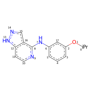 CC(C)Oc1cccc(Nc2nccc3[nH]ncc23)c1